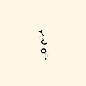 O=CNc1ccc(Oc2ccnc(NC(=O)C3CC3)c2)cc1